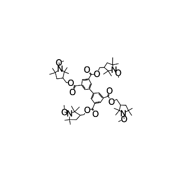 CON1C(C)(C)CC(COC(=O)c2cc(C(=O)OCC3CC(C)(C)N(OC)C3(C)C)cc(-c3cc(C(=O)OCC4CC(C)(C)N(OC)C4(C)C)cc(C(=O)OCC4CC(C)(C)N(OC)C4(C)C)c3)c2)C1(C)C